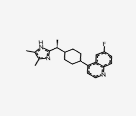 Cc1nc([C@@H](C)C2CCC(c3ccnc4ccc(F)cc34)CC2)[nH]c1C